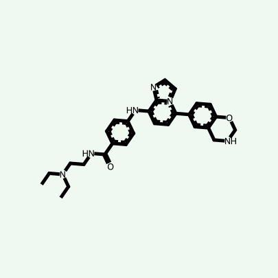 CCN(CC)CCNC(=O)c1ccc(Nc2ccc(-c3ccc4c(c3)CNCO4)n3ccnc23)cc1